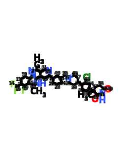 Cc1nnc(N[C@H](C)c2cccc(C(F)F)c2F)c2cc(-c3cccc(CN4CCC(c5ccc([C@@]6(C)CCC(=O)NC6=O)cc5Cl)CC4)c3)ncc12